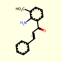 Nc1c(C(=O)O)cccc1C(=O)/C=C/c1ccccc1